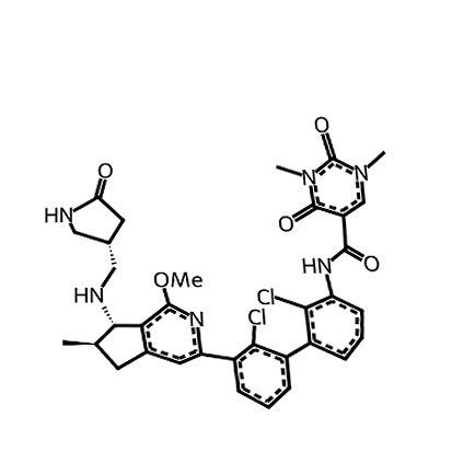 COc1nc(-c2cccc(-c3cccc(NC(=O)c4cn(C)c(=O)n(C)c4=O)c3Cl)c2Cl)cc2c1[C@@H](NC[C@@H]1CNC(=O)C1)[C@H](C)C2